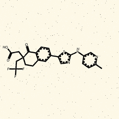 Cc1ccc(Nc2ncc(-c3ccc4c(c3)CCC(CC(=O)O)(CC(F)(F)F)C4=O)s2)cn1